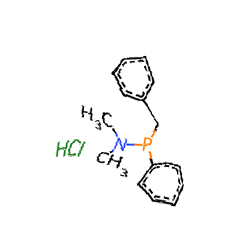 CN(C)P(Cc1ccccc1)c1ccccc1.Cl